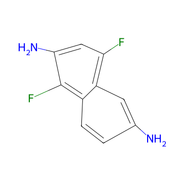 Nc1ccc2c(F)c(N)cc(F)c2c1